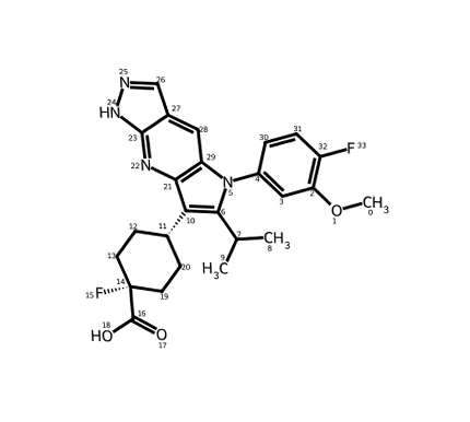 COc1cc(-n2c(C(C)C)c([C@H]3CC[C@](F)(C(=O)O)CC3)c3nc4[nH]ncc4cc32)ccc1F